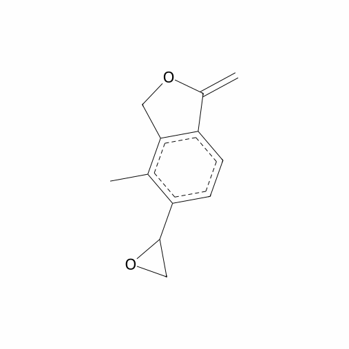 C=C1OCc2c1ccc(C1CO1)c2C